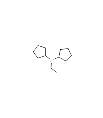 [CH2]CP(C1CCCC1)C1CCCC1